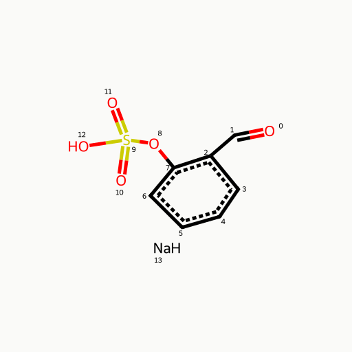 O=Cc1ccccc1OS(=O)(=O)O.[NaH]